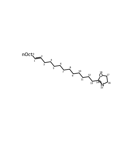 CCCCCCCC/C=C/CCCCCCCCCCCC1=NCCO1